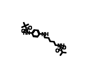 CC(C)S(=O)(=O)NCCCCCNc1ccc(NS(=O)(=O)C(C)(C)C)cc1